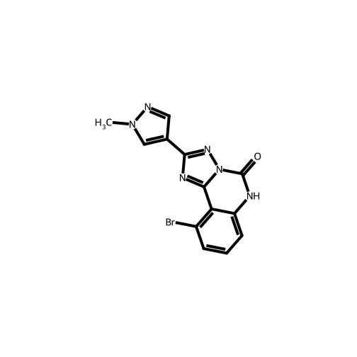 Cn1cc(-c2nc3c4c(Br)cccc4[nH]c(=O)n3n2)cn1